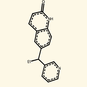 CCC(c1cccnc1)c1ccc2[nH]c(=O)ccc2c1